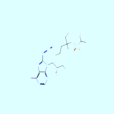 CCC(C)(CCO[C@H]([C@H](O)CO)n1c(N=[N+]=[N-])nc2c(N)ncnc21)OP(=O)(O)C(C)O